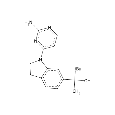 CC(C)(C)C(C)(O)c1ccc2c(c1)N(c1ccnc(N)n1)CC2